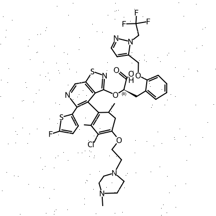 CC1=C(c2c(-c3ccc(F)s3)ncc3snc(O[C@H](Cc4ccccc4OCc4ccnn4CC(F)(F)F)C(=O)O)c23)C(C)CC(OCCN2CCN(C)CC2)=C1Cl